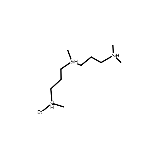 CC[SiH](C)CCC[SiH](C)CCC[SiH](C)C